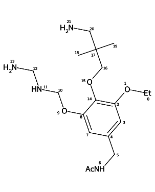 CCOc1cc(CNC(C)=O)cc(OCNCN)c1OCC(C)(C)CN